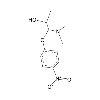 CC(O)C(Oc1ccc([N+](=O)[O-])cc1)N(C)C